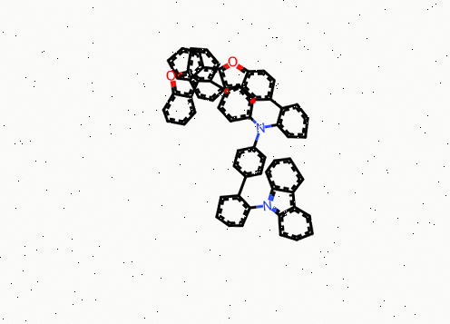 c1ccc(N(c2ccc(-c3ccccc3-n3c4ccccc4c4ccccc43)cc2)c2ccc(-c3cccc4oc5ccccc5c34)cc2)c(-c2ccc3oc4c5ccccc5ccc4c3c2)c1